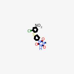 Cn1c(=O)[nH]c(=O)n(-c2ccc(Sc3ccc([N+](=O)[O-])cc3Cl)cc2)c1=O